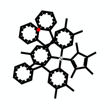 CC1=C(C)C(C)C([Si](c2cc(C)c(C)cc2Cc2ccccc2)(c2cc(C)c(C)cc2Cc2ccccc2)c2cc(C)c(C)cc2Cc2ccccc2)=C1C